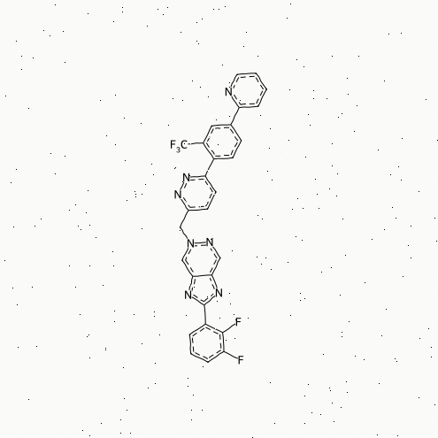 Fc1cccc(-c2nc3cnn(Cc4ccc(-c5ccc(-c6ccccn6)cc5C(F)(F)F)nn4)cc-3n2)c1F